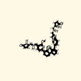 COc1nc(-c2cccc(-c3cccc(-c4ccc5nc(CNC[C@H]6CCC(=O)N6)cn5n4)c3Cl)c2Cl)ccc1CNC[C@H]1CCC(=O)N1